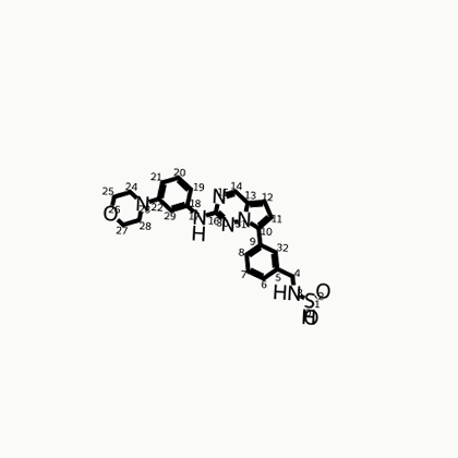 O=[SH](=O)NCc1cccc(-c2ccc3cnc(Nc4cccc(N5CCOCC5)c4)nn23)c1